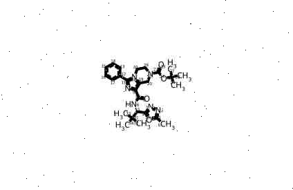 Cc1nnc([C@@H](NC(=O)c2nc(-c3ccccc3)n3c2CN(C(=O)OC(C)(C)C)CC3)C(C)(C)C)o1